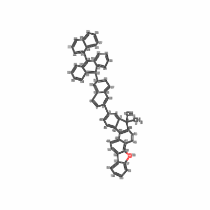 CC1(C)c2cc(-c3ccc4cc(-c5c6ccccc6c(-c6cccc7ccccc67)c6ccccc56)ccc4c3)ccc2-c2c1ccc1c2ccc2c3ccccc3oc12